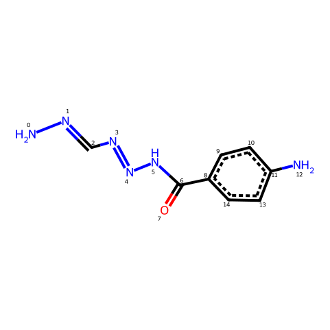 NN=CN=NNC(=O)c1ccc(N)cc1